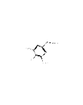 CCCCCCCCc1cc(SC)c(O)c(SC)c1